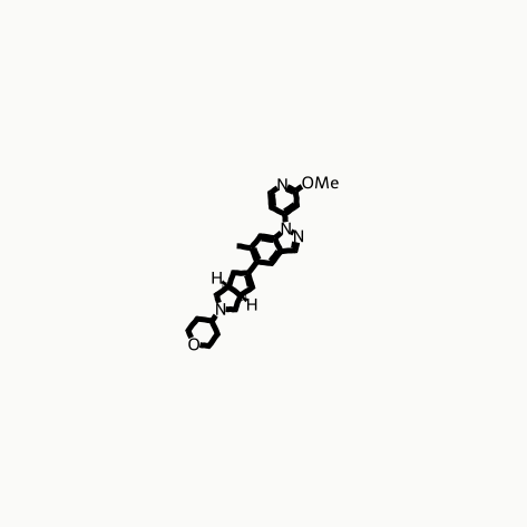 COc1cc(-n2ncc3cc(C4=C[C@@H]5CN(C6CCOCC6)C[C@@H]5C4)c(C)cc32)ccn1